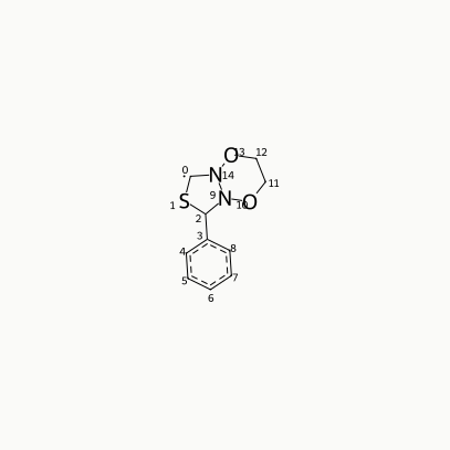 [CH]1SC(c2ccccc2)N2OCCON12